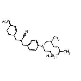 C=C(C)CCC(C)CN(CCC)c1ccc(CC(C#N)CC2C=CC(N)CC2)cc1